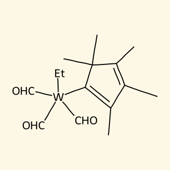 C[CH2][W]([CH]=O)([CH]=O)([CH]=O)[C]1=C(C)C(C)=C(C)C1(C)C